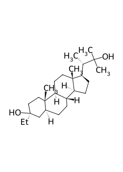 CC[C@]1(O)CC[C@@]2(C)[C@@H](CC[C@@H]3[C@@H]2CC[C@]2(C)[C@@H]([C@H](C)C(C)(C)O)CC[C@@H]32)C1